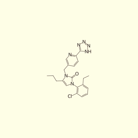 CCCc1cn(-c2c(Cl)cccc2CC)c(=O)n1Cc1ccc(-c2nnn[nH]2)nc1